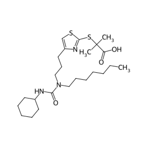 CCCCCCCN(CCCc1csc(SC(C)(C)C(=O)O)n1)C(=O)NC1CCCCC1